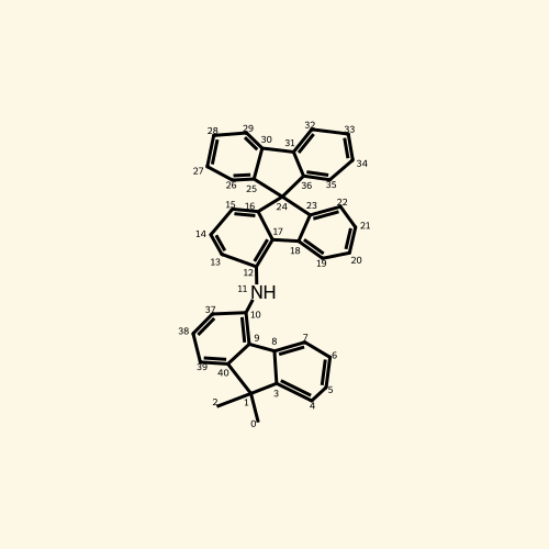 CC1(C)c2ccccc2-c2c(Nc3cccc4c3-c3ccccc3C43c4ccccc4-c4ccccc43)cccc21